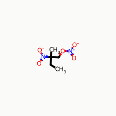 CCC(C)(CO[N+](=O)[O-])[N+](=O)[O-]